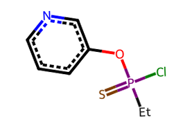 CCP(=S)(Cl)Oc1cccnc1